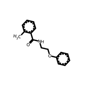 Cc1ccccc1C(=O)NCCOc1ccccc1